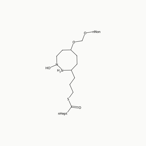 CCCCCCCCCOCOC1CCC(CCCSC(=O)CCCCCCC)[SiH2]N(O)CC1